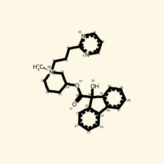 C[N@@+]1(CCCc2ncccn2)CCCC(OC(=O)C2(O)c3ccccc3-c3ccccc32)C1